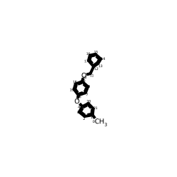 Cc1ccc(Oc2ccc(OCc3ccccc3)cc2)cc1